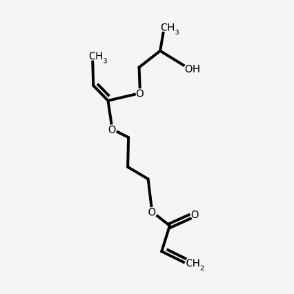 C=CC(=O)OCCCOC(=CC)OCC(C)O